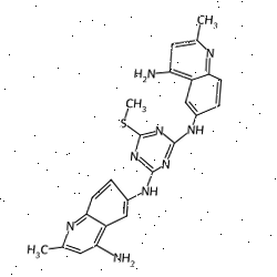 CSc1nc(Nc2ccc3nc(C)cc(N)c3c2)nc(Nc2ccc3nc(C)cc(N)c3c2)n1